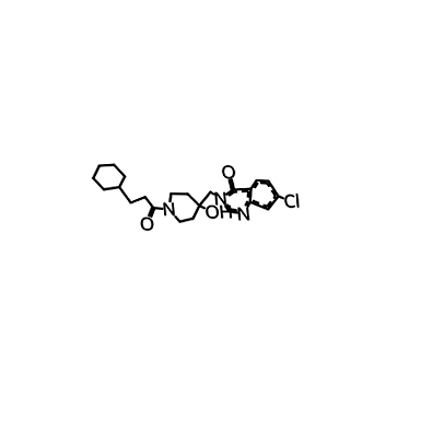 O=C(CCC1CCCCC1)N1CCC(O)(Cn2cnc3cc(Cl)ccc3c2=O)CC1